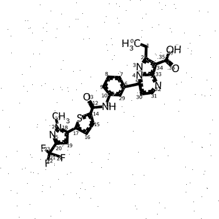 CCc1nn2c(-c3cccc(NC(=O)c4ccc(-c5cc(C(F)(F)F)nn5C)s4)c3)ccnc2c1C(=O)O